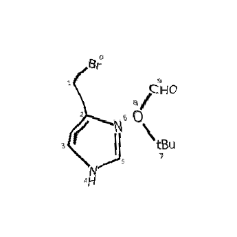 BrCc1c[nH]cn1.CC(C)(C)OC=O